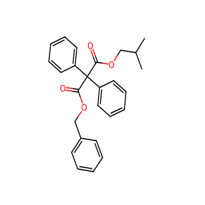 CC(C)COC(=O)C(C(=O)OCc1ccccc1)(c1ccccc1)c1ccccc1